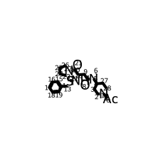 CC(=O)N1CCC(N(C)C(=O)CC(NSCc2ccccc2)C(=O)N2CCCC2)CC1